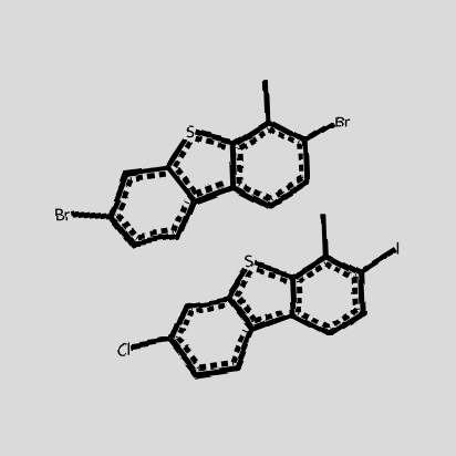 Cc1c(Br)ccc2c1sc1cc(Br)ccc12.Cc1c(I)ccc2c1sc1cc(Cl)ccc12